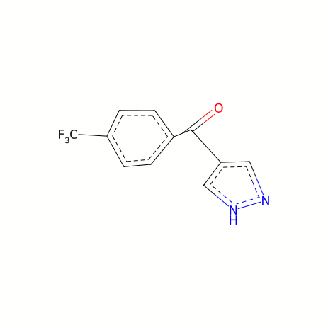 O=C(c1ccc(C(F)(F)F)cc1)c1cn[nH]c1